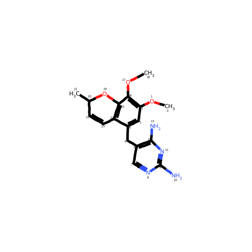 COc1cc(Cc2cnc(N)nc2N)c2c(c1OC)OC(C)C=C2